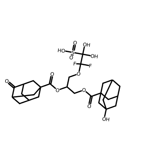 O=C1C2CC3CC1CC(C(=O)OC(COC(=O)C14CC5CC(CC(O)(C5)C1)C4)COC(F)(F)C(O)(O)S(=O)(=O)O)(C3)C2